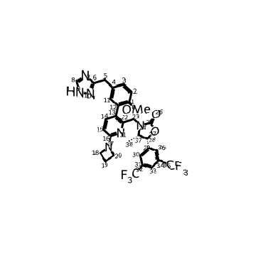 COc1ccc(Cc2nc[nH]n2)cc1-c1ccc(N2CCC2)nc1CN1C(=O)O[C@H](c2cc(C(F)(F)F)cc(C(F)(F)F)c2)[C@@H]1C